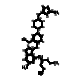 CCC[C@@H](CCO)Nc1nc(N)nc2cnn(Cc3ncc(C4CCN(Cc5ncn(C)n5)CC4)cc3CO)c12